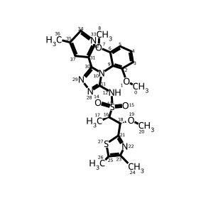 COc1cccc(OC)c1-n1c(NS(=O)(=O)[C@H](C)[C@H](OC)c2nc(C)c(C)s2)nnc1-c1cncc(C)c1